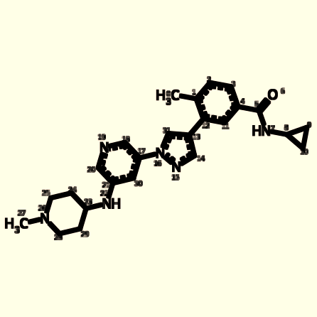 Cc1ccc(C(=O)NC2CC2)cc1-c1cnn(-c2cncc(NC3CCN(C)CC3)c2)c1